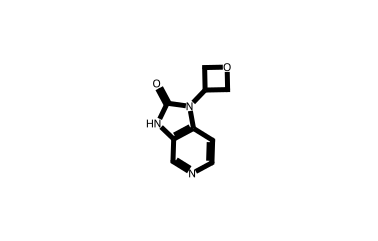 O=c1[nH]c2cnccc2n1C1COC1